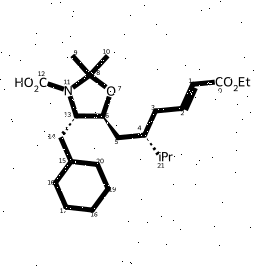 CCOC(=O)/C=C/C[C@@H](C[C@@H]1OC(C)(C)N(C(=O)O)[C@H]1CC1CCCCC1)C(C)C